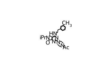 CC(=O)N1CCN(c2nc(NCCc3cccc(C)c3)c3c(n2)C(=O)N(C(C)C)C3)CC1